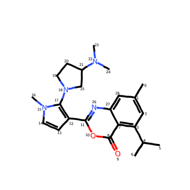 Cc1cc(C(C)C)c2c(=O)oc(-c3ccn(C)c3N3CCC(N(C)C)C3)nc2c1